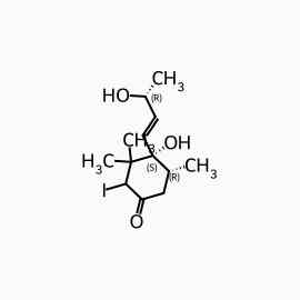 C[C@@H]1CC(=O)C(I)C(C)(C)[C@@]1(O)C=C[C@@H](C)O